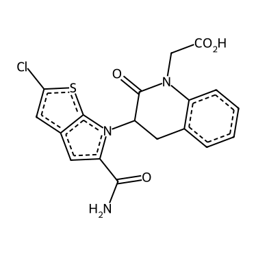 NC(=O)c1cc2cc(Cl)sc2n1C1Cc2ccccc2N(CC(=O)O)C1=O